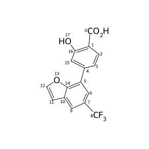 O=C(O)c1ccc(-c2cc(C(F)(F)F)cc3ccoc23)cc1O